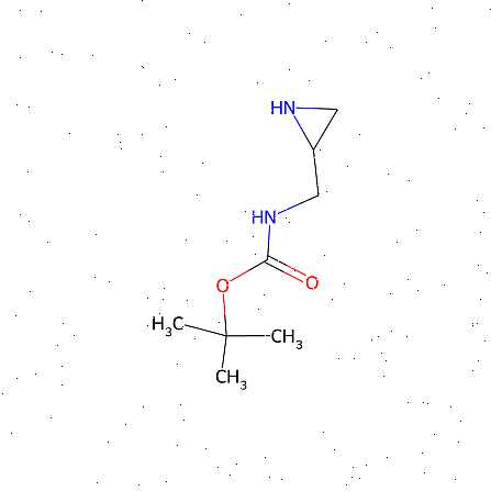 CC(C)(C)OC(=O)NCC1CN1